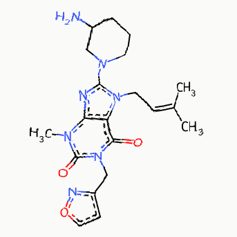 CC(C)=CCn1c(N2CCCC(N)C2)nc2c1c(=O)n(Cc1ccon1)c(=O)n2C